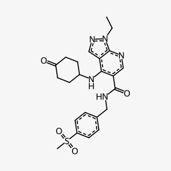 CCn1ncc2c(NC3CCC(=O)CC3)c(C(=O)NCc3ccc(S(C)(=O)=O)cc3)cnc21